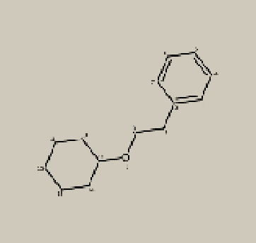 [CH](Cc1ccccc1)OC1CCCCC1